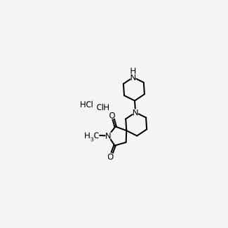 CN1C(=O)CC2(CCCN(C3CCNCC3)C2)C1=O.Cl.Cl